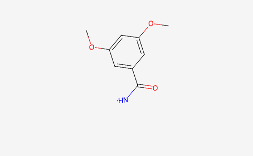 COc1cc(OC)cc(C([NH])=O)c1